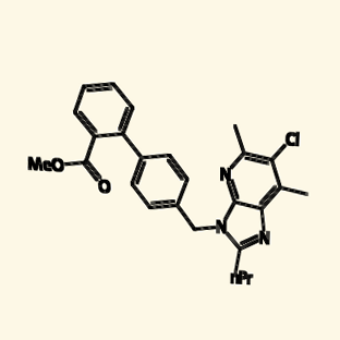 CCCc1nc2c(C)c(Cl)c(C)nc2n1Cc1ccc(-c2ccccc2C(=O)OC)cc1